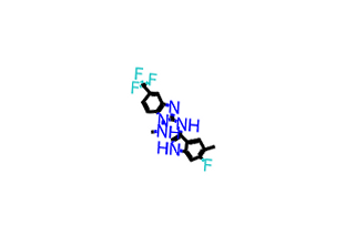 CNn1c(Nc2c[nH]c3cc(F)c(C)cc23)nc2cc(C(F)(F)F)ccc21